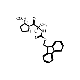 CC(C)(NC(=O)OCC1c2ccccc2-c2ccccc21)C(=O)N1CCC[C@H]1C(=O)O